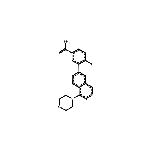 NC(=O)c1ccc(F)c(-c2ccc3c(N4CCOCC4)nncc3c2)c1